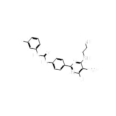 CSc1c(Cl)nc(-c2ccc(NC(=O)Nc3cccc(F)c3)cc2)nc1NCCO